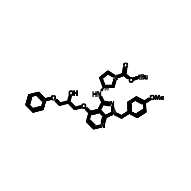 COc1ccc(Cn2nc(N[C@@H]3CCN(C(=O)OC(C)(C)C)C3)c3c(OCC(O)COc4ccccc4)ccnc32)cc1